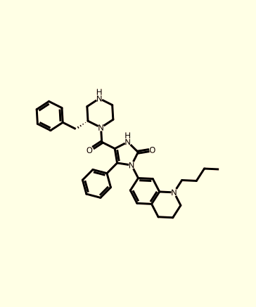 CCCCN1CCCc2ccc(-n3c(-c4ccccc4)c(C(=O)N4CCNC[C@H]4Cc4ccccc4)[nH]c3=O)cc21